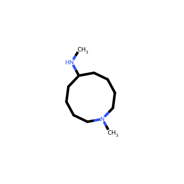 CNC1CCCCN(C)CCCC1